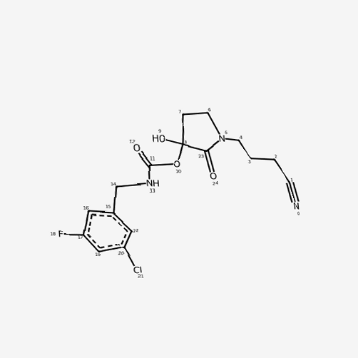 N#CCCCN1CCC(O)(OC(=O)NCc2cc(F)cc(Cl)c2)C1=O